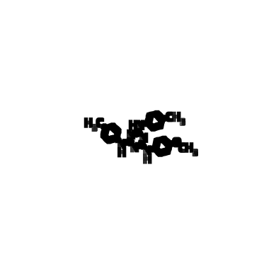 COc1ccc(Nc2nc(Nc3ccc(C)cc3)nc(Nc3ccc(C)cc3)n2)cc1